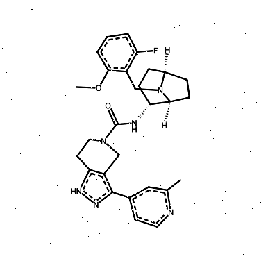 COc1cccc(F)c1CN1[C@H]2CC[C@@H](NC(=O)N3CCc4[nH]nc(-c5ccnc(C)c5)c4C3)[C@@H]1CC2